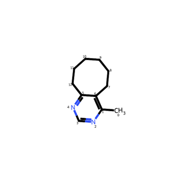 Cc1ncnc2c1CCCCCC2